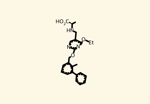 CCOc1nc(OCc2cccc(-c3ccccc3)c2C)ncc1CN[C@H](C)C(=O)O